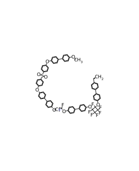 C=Cc1ccc(-c2ccc(OC3(F)C(F)(F)C(F)(F)C3(F)Oc3ccc(-c4ccc(O/[C](F)=[Cf]\[O]c5ccc(-c6ccc(Oc7ccc(S(=O)(=O)c8ccc(Oc9ccc(-c%10ccc(OC)cc%10)cc9)cc8)cc7)cc6)cc5)cc4)cc3)cc2)cc1